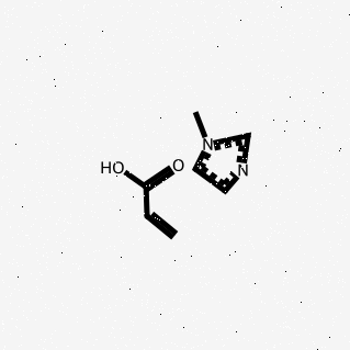 C=CC(=O)O.Cn1ccnc1